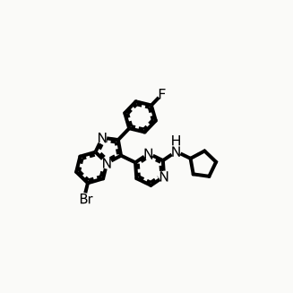 Fc1ccc(-c2nc3ccc(Br)cn3c2-c2ccnc(NC3CCCC3)n2)cc1